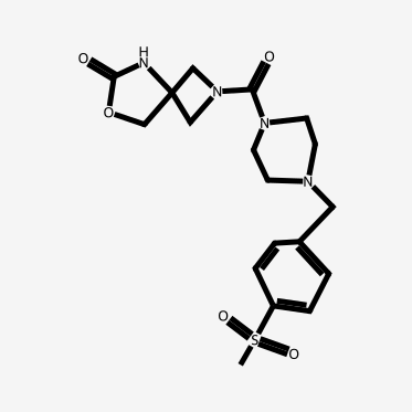 CS(=O)(=O)c1ccc(CN2CCN(C(=O)N3CC4(COC(=O)N4)C3)CC2)cc1